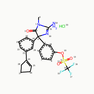 CN1C(=O)C(c2cccc(OS(=O)(=O)C(F)(F)F)c2)(c2cccc(C3=CCCC3)c2)N=C1N.Cl